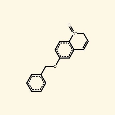 O=[N+]1CC=Cc2cc(OCc3ccccc3)ccc21